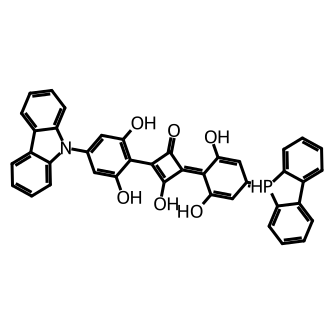 O=C1C(=C2C(O)=CC(=[PH]3c4ccccc4-c4ccccc43)C=C2O)C(O)=C1c1c(O)cc(-n2c3ccccc3c3ccccc32)cc1O